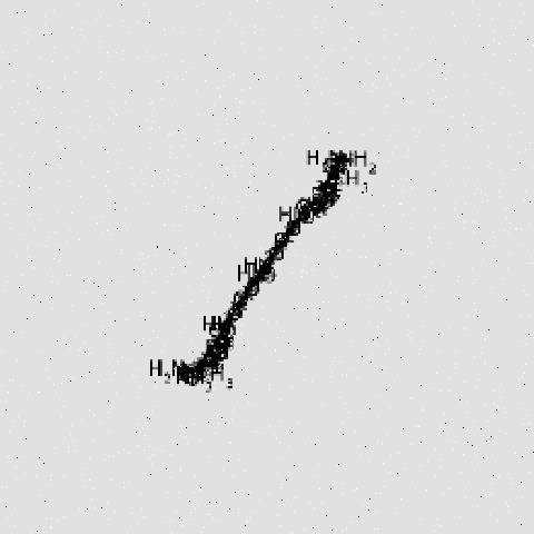 C/C(=C\c1cc(F)c(Oc2ccc(S(=O)(=O)NCCOCCOCCOCCNC(=O)NCCOCCOCCOCCNS(=O)(=O)c3ccc(Oc4c(F)cc(/C=C(\C)C(=O)N=C(N)N)cc4F)cc3)cc2)c(F)c1)C(=O)N=C(N)N